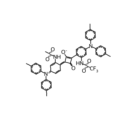 Cc1ccc(N(c2ccc(C)cc2)c2ccc(C3=C([O-])/C(=C4/C=CC(=[N+](c5ccc(C)cc5)c5ccc(C)cc5)C=C4NS(C)(=O)=O)C3=O)c(NS(=O)(=O)C(F)(F)F)c2)cc1